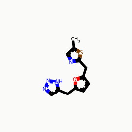 Cc1cnc(Cc2ccc(Cc3cnn[nH]3)o2)s1